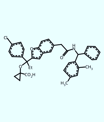 CCC(OC1(C(=O)O)CC1)(c1ccc(Cl)cc1)c1cc2cc(CC(=O)NC(c3ccccc3)c3ccc(C)cc3C)ccc2o1